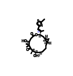 C/C(=C\c1csc(C)n1)[C@@H]1C[C@@H]2C[C@@H]2CCC[C@H](C)[C@H](O)[C@@H](C)C(=O)C(C)(C)[C@@H](O)CC(=O)O1